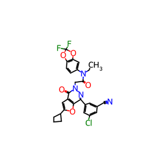 CCN(C(=O)Cn1nc(-c2cc(Cl)cc(C#N)c2)c2oc(C3CCC3)cc2c1=O)c1ccc2c(c1)OC(F)(F)O2